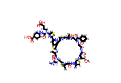 CNC(=O)C[C@@H]1NC(=O)c2csc(n2)-c2ccc(-c3nc(N(CCCC(=O)O)C(=O)N[C@H]4CC[C@H](C(=O)O)CC4)cs3)nc2-c2csc(n2)-c2csc(n2)[C@H]([C@@H](O)c2ccccc2)NC(=O)CNC(=O)c2nc(sc2COC)C(C(C)C)NC(=O)c2nc1sc2C